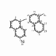 Cc1cccc2ccccc12.Cc1cccc2ccccc12.[Ni]